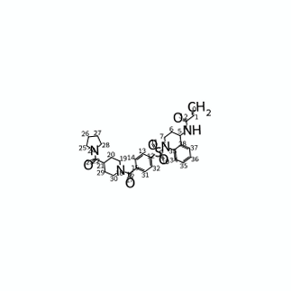 C=CC(=O)NC1CCN(S(=O)(=O)c2ccc(C(=O)N3CCC(C(=O)N4CCCC4)CC3)cc2)c2ccccc21